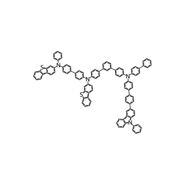 c1ccc(-c2ccc(N(c3ccc(-c4ccc(-c5ccc6c(c5)c5ccccc5n6-c5ccccc5)cc4)cc3)c3ccc(-c4cccc(-c5ccc(N(c6ccc(-c7ccc(N(c8ccccc8)c8ccc9c(c8)sc8ccccc89)cc7)cc6)c6ccc7c(c6)sc6ccccc67)cc5)c4)cc3)cc2)cc1